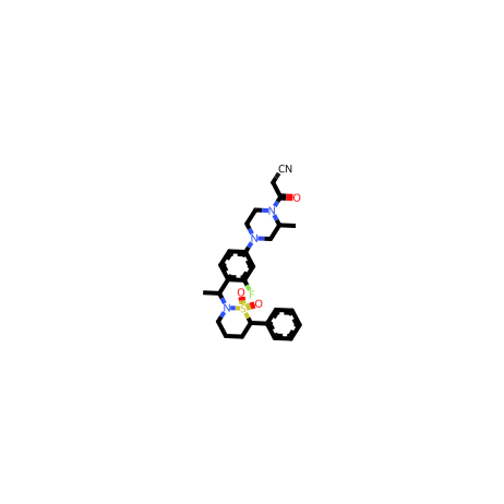 CC1CN(c2ccc(C(C)N3CCCC(c4ccccc4)S3(=O)=O)c(F)c2)CCN1C(=O)CC#N